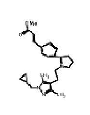 COC(=O)C=Cc1ccc(C2CCCN2CCc2c(C)nn(CC3CC3)c2C)cc1